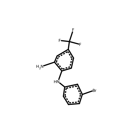 Nc1cc(C(F)(F)F)ccc1Nc1cccc(Br)c1